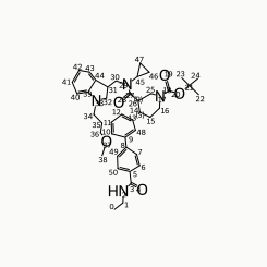 CCNC(=O)c1ccc(-c2cccc([C@H]3CCN(C(=O)OC(C)(C)C)C[C@@H]3C(=O)N(CC3CN(CCCOC)c4ccccc43)C3CC3)c2)cc1